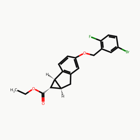 CCOC(=O)[C@H]1[C@@H]2Cc3cc(OCc4cc(Br)ccc4F)ccc3[C@@H]21